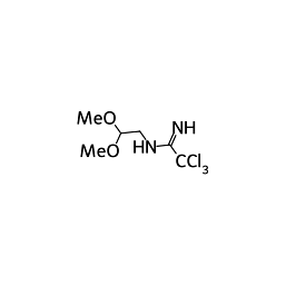 COC(CNC(=N)C(Cl)(Cl)Cl)OC